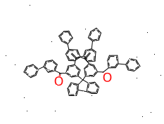 C=C(c1cccc(-c2ccccc2)c1)c1cc(C(=O)c2cccc(-c3ccccc3)c2)cc(C2(c3cc(C(=C)c4cccc(-c5ccccc5)c4)cc(C(=O)c4cccc(-c5ccccc5)c4)c3)c3ccccc3-c3ccccc32)c1